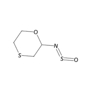 O=S=NC1CSCCO1